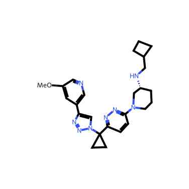 COc1cncc(-c2cn(C3(c4ccc(N5CCC[C@@H](NCC6CCC6)C5)nn4)CC3)nn2)c1